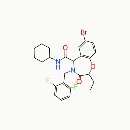 CCC1Oc2ccc(Br)cc2C(C(=O)NC2CCCCC2)N(Cc2c(F)cccc2F)C1=O